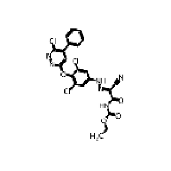 CCOC(=O)NC(=O)/C(C#N)=N/Nc1cc(Cl)c(Oc2cc(-c3ccccc3)c(Cl)nn2)c(Cl)c1